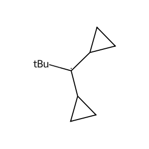 CC(C)(C)[C](C1CC1)C1CC1